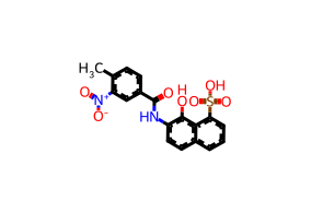 Cc1ccc(C(=O)Nc2ccc3cccc(S(=O)(=O)O)c3c2O)cc1[N+](=O)[O-]